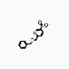 O=[N+]([O-])c1ccc(COCc2ccccc2)nc1